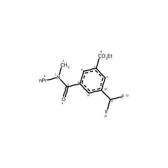 CCCN(C)C(=O)c1cc(C(=O)OCC)cc(C(F)F)c1